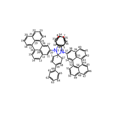 C1=CC(N(c2ccccc2)c2cc3cccc4c5cccc6cccc(c(c2)c34)c65)(N(c2ccccc2)c2cc3cccc4c5cccc6cccc(c(c2)c34)c65)CC=C1c1ccccc1